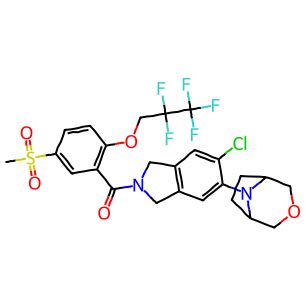 CS(=O)(=O)c1ccc(OCC(F)(F)C(F)(F)F)c(C(=O)N2Cc3cc(Cl)c(N4C5CCC4COC5)cc3C2)c1